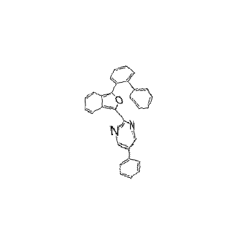 c1ccc(-c2cnc(-c3oc(-c4ccccc4-c4ccccc4)c4ccccc34)nc2)cc1